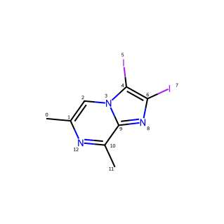 Cc1cn2c(I)c(I)nc2c(C)n1